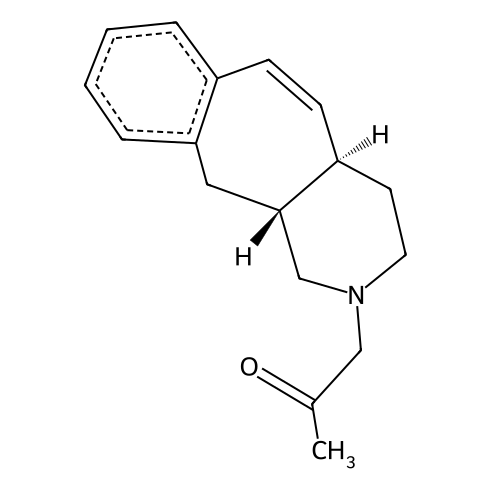 CC(=O)CN1CC[C@@H]2C=Cc3ccccc3C[C@H]2C1